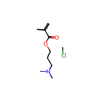 C=C(C)C(=O)OCCCN(C)C.CCl